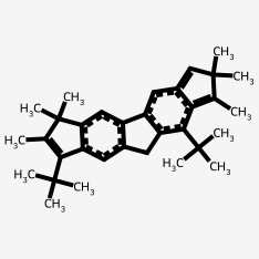 CC1=C(C(C)(C)C)c2cc3c(cc2C1(C)C)-c1cc2c(c(C(C)(C)C)c1C3)=C(C)C(C)(C)C=2